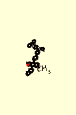 Cc1ccc2c(-c3ccc(-c4ccc(N(c5ccccc5)c5ccc(-n6c7ccccc7c7ccccc76)cc5)cc4)cc3)c3ccccc3c(-c3ccc4ccccc4c3)c2c1